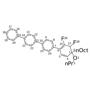 CCCCCCCCC1(OCCC)C=CC(c2ccc(-c3ccc(-c4ccccc4)cc3)cc2)=C(F)C1F